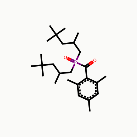 Cc1cc(C)c(C(=O)P(=O)(CC(C)CC(C)(C)C)CC(C)CC(C)(C)C)c(C)c1